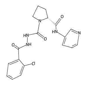 O=C(NNC(=O)N1CCC[C@@H]1C(=O)Nc1cccnc1)c1ccccc1Cl